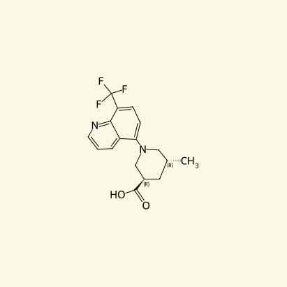 C[C@@H]1C[C@@H](C(=O)O)CN(c2ccc(C(F)(F)F)c3ncccc23)C1